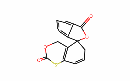 O=C1OCC2=C(C=CCC23OC(=O)c2ccccc23)S1